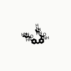 Cc1cc(C(=O)Nc2ccc(Cc3ccc4c(c3)/C(=C/Nc3cc[nH]n3)C(=O)N4)cc2)n[nH]1